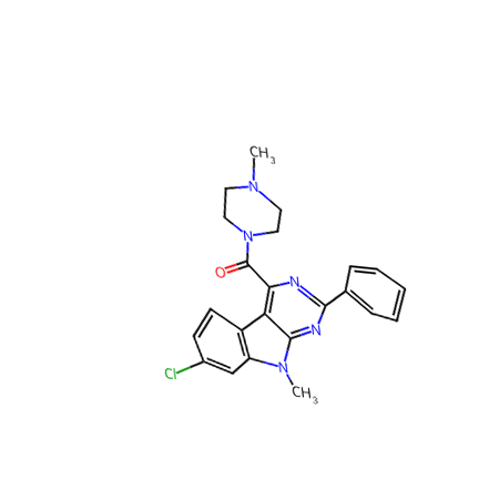 CN1CCN(C(=O)c2nc(-c3ccccc3)nc3c2c2ccc(Cl)cc2n3C)CC1